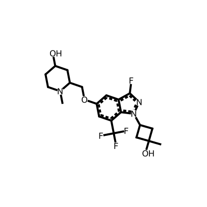 CN1CCC(O)CC1COc1cc(C(F)(F)F)c2c(c1)c(F)nn2C1CC(C)(O)C1